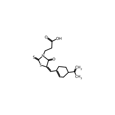 C=C(C)C1CC=C(C=C2SC(=S)N(CCC(=O)O)C2=O)CC1